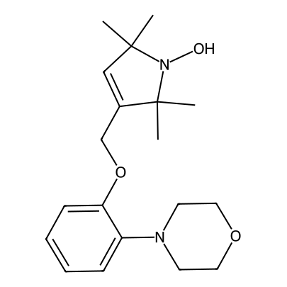 CC1(C)C=C(COc2ccccc2N2CCOCC2)C(C)(C)N1O